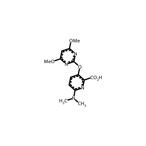 COc1cc(OC)nc(Oc2ccc(N(C)C)nc2C(=O)O)n1